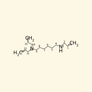 C=CCNCCCCCCN(CC=C)CC=C